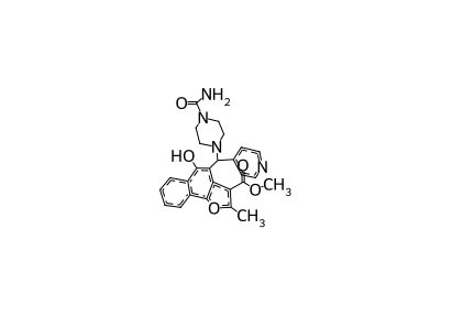 COC(=O)c1c(C)oc2c1c(C(c1ccncc1)N1CCN(C(N)=O)CC1)c(O)c1ccccc12